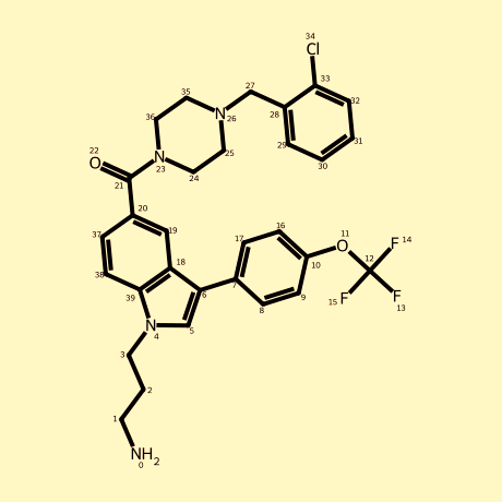 NCCCn1cc(-c2ccc(OC(F)(F)F)cc2)c2cc(C(=O)N3CCN(Cc4ccccc4Cl)CC3)ccc21